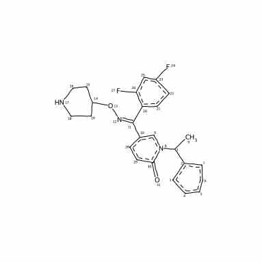 CC(c1ccccc1)n1cc(/C(=N/OC2CCNCC2)c2ccc(F)cc2F)ccc1=O